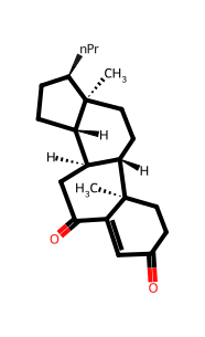 CCC[C@@H]1CC[C@H]2[C@@H]3CC(=O)C4=CC(=O)CC[C@]4(C)[C@H]3CC[C@]12C